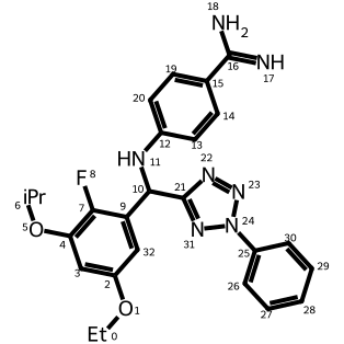 CCOc1cc(OC(C)C)c(F)c(C(Nc2ccc(C(=N)N)cc2)c2nnn(-c3ccccc3)n2)c1